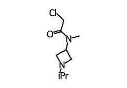 CC(C)N1CC(N(C)C(=O)CCl)C1